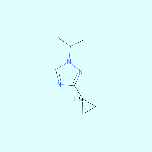 CC(C)n1cnc([SiH]2CC2)n1